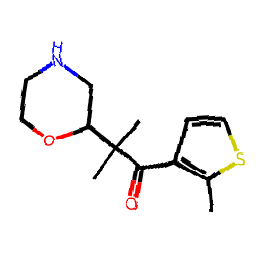 Cc1sccc1C(=O)C(C)(C)C1CNCCO1